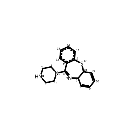 C1=CC2N=C(N3CCNCC3)c3ccccc3SC2C=C1